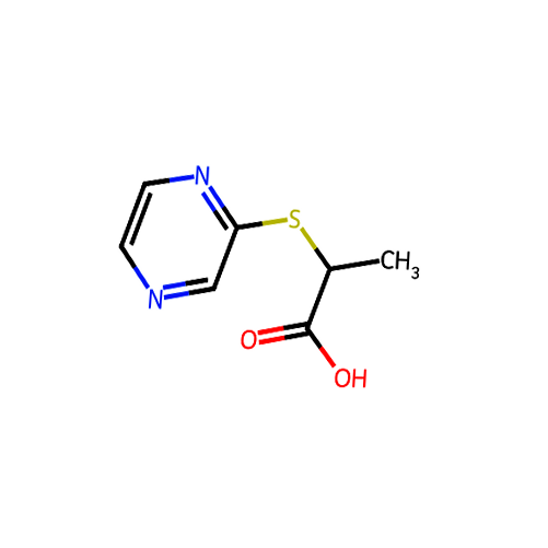 CC(Sc1cnccn1)C(=O)O